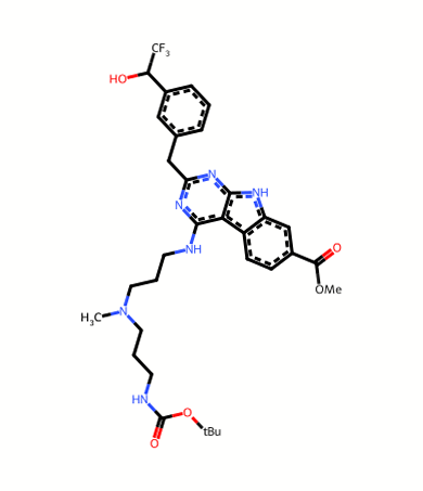 COC(=O)c1ccc2c(c1)[nH]c1nc(Cc3cccc(C(O)C(F)(F)F)c3)nc(NCCCN(C)CCCNC(=O)OC(C)(C)C)c12